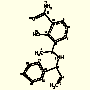 C=CC(NC(C)c1cccc(C(N)=O)c1O)c1ccccc1